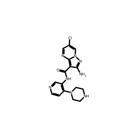 Nc1nn2cc(Cl)cnc2c1C(=O)Nc1cnccc1N1CCNCC1